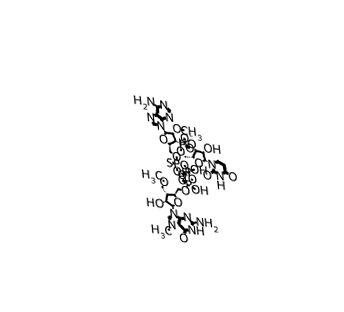 COC[C@H]1[C@@H](O)[C@H](n2c[n+](C)c3c(=O)[nH]c(N)nc32)O[C@@H]1COP(=O)(O)OP(=O)(O)OP(O)(=S)OC[C@H]1O[C@@H](n2cnc3c(N)ncnc32)[C@H](OC)[C@@H]1P(=O)([O-])OC[C@H]1O[C@@H](n2ccc(=O)[nH]c2=O)[C@H](O)[C@@H]1O